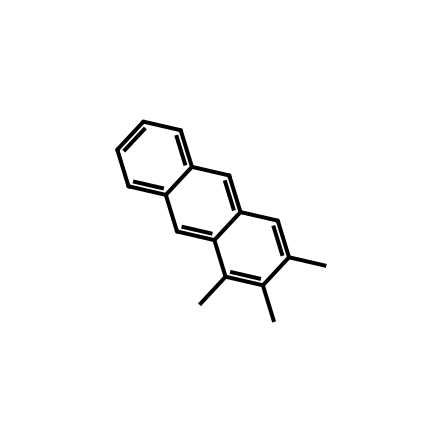 Cc1cc2cc3ccccc3cc2c(C)c1C